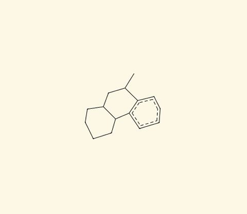 CC1CC2CCCCC2c2ccccc21